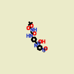 C[N+](=O)c1ccc2nc(-c3ccc(NC(=O)CNC(=O)OC(C)(C)C)cc3)n(O)c2c1